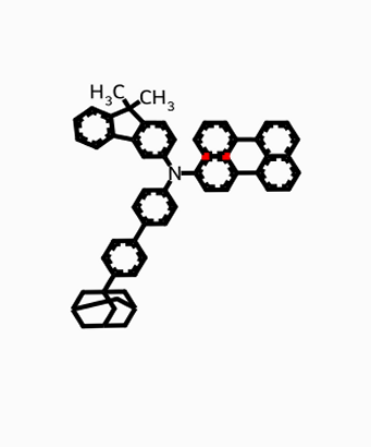 CC1(C)c2ccccc2-c2cc(N(c3ccc(-c4ccc(C56CC7CC(CC(C7)C5)C6)cc4)cc3)c3ccc(-c4cccc5cccc(-c6ccccc6)c45)cc3)ccc21